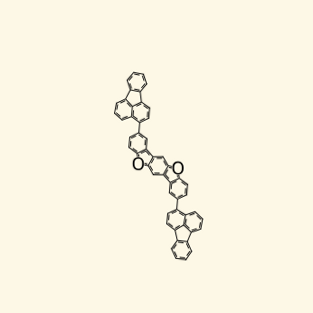 c1ccc2c(c1)-c1cccc3c(-c4ccc5oc6cc7c(cc6c5c4)oc4ccc(-c5ccc6c8c(cccc58)-c5ccccc5-6)cc47)ccc-2c13